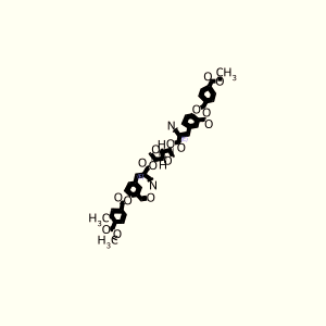 COC(=O)c1ccc(C(=O)Oc2ccc(/C=C(\C#N)C(=O)O[C@@H]3CO[C@H]4[C@@H]3OC[C@@H]4OC(=O)/C(C#N)=C/c3ccc(OC(=O)C4=CC(C)C(C(=O)OC)C=C4)c(C=O)c3)cc2C=O)cc1